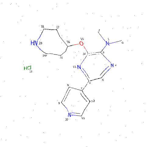 CN(C)c1ncc(-c2ccncc2)nc1OC1CCNCC1.Cl